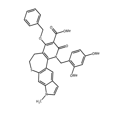 COC(=O)c1c(OCc2ccccc2)c2c(n(Cc3ccc(OC)cc3OC)c1=O)-c1cc3ccn(C)c3cc1SCC2